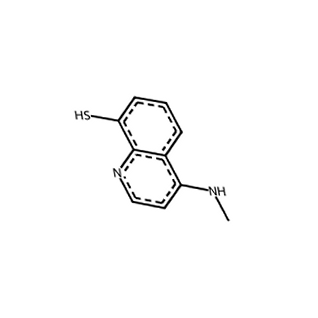 CNc1ccnc2c(S)cccc12